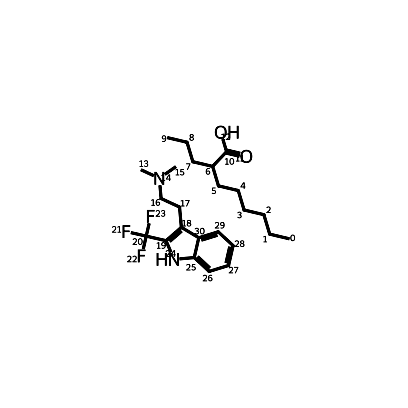 CCCCCCC(CCC)C(=O)O.CN(C)CCc1c(C(F)(F)F)[nH]c2ccccc12